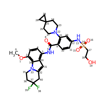 COc1ccc(NC(=O)c2ccc(NS(=O)(=O)CCO)cc2N2CCC3(CC2)CC3)c2cc3n(c12)CCC(F)(F)C3